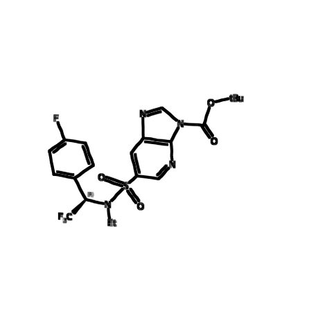 CCN([C@H](c1ccc(F)cc1)C(F)(F)F)S(=O)(=O)c1cnc2c(c1)ncn2C(=O)OC(C)(C)C